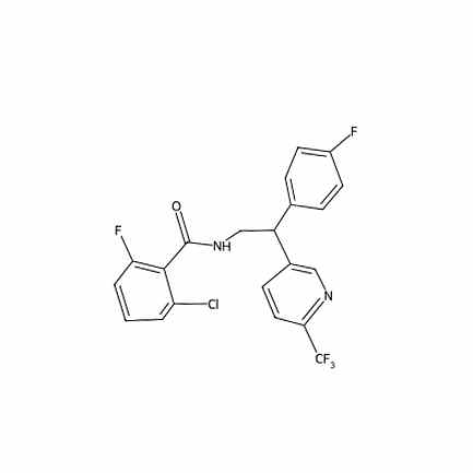 O=C(NCC(c1ccc(F)cc1)c1ccc(C(F)(F)F)nc1)c1c(F)cccc1Cl